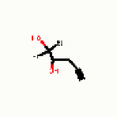 [C]#CCC(O)C(O)(CC)CC